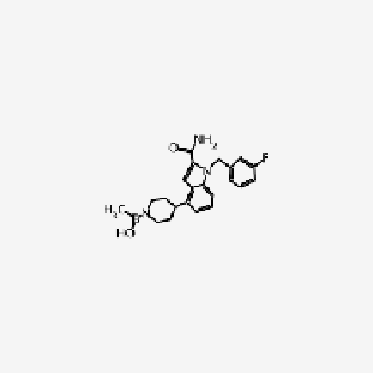 CB(O)N1CCC(c2cccc3c2cc(C(N)=O)n3Cc2cccc(F)c2)CC1